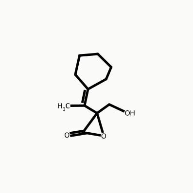 CC(=C1CCCCC1)C1(CO)OC1=O